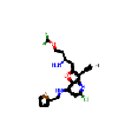 C#Cc1c(C[C@@H](N)CCOC(F)F)oc2c(NCc3cccs3)cc(Cl)nc12